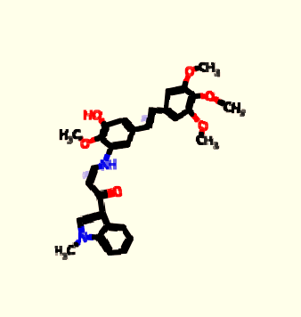 COc1cc(/C=C/c2cc(O)c(OC)c(N/C=C\C(=O)c3cn(C)c4ccccc34)c2)cc(OC)c1OC